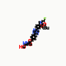 CC(C)(C)OC(=O)N(CCF)Cc1ccc(-c2nnc(-c3ccc(COC(=O)NCCO)cc3)nn2)cc1